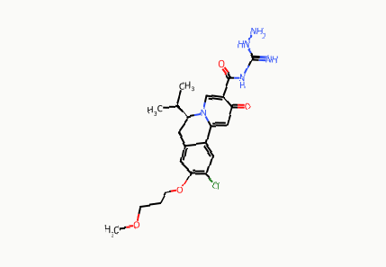 COCCCOc1cc2c(cc1Cl)-c1cc(=O)c(C(=O)NC(=N)NN)cn1[C@H](C(C)C)C2